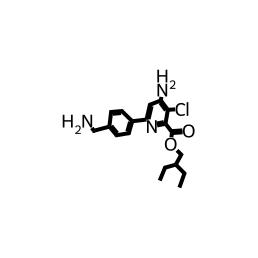 CCC(CC)COC(=O)c1nc(-c2ccc(CN)cc2)cc(N)c1Cl